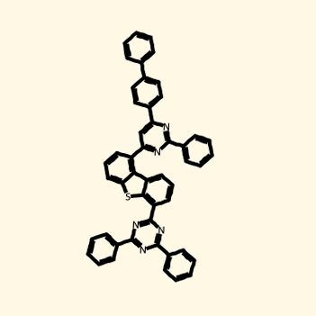 c1ccc(-c2ccc(-c3cc(-c4cccc5sc6c(-c7nc(-c8ccccc8)nc(-c8ccccc8)n7)cccc6c45)nc(-c4ccccc4)n3)cc2)cc1